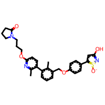 Cc1nc(OCCCN2CCCC2=O)ccc1-c1cccc(COc2ccc(-c3cc(O)n[s+]3[O-])cc2)c1C